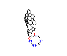 O=C1NCCNCCCNCCNC(=O)C12C1c3c4ccc5c6c7c8c9c%10c%11c(c%12ccc%13c%14ccc%15c(c%16c3c(c46)c8c3c%16c%15c%14c(c%13c%12%10)c93)C12)C=CC5C%117